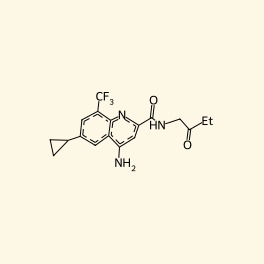 CCC(=O)CNC(=O)c1cc(N)c2cc(C3CC3)cc(C(F)(F)F)c2n1